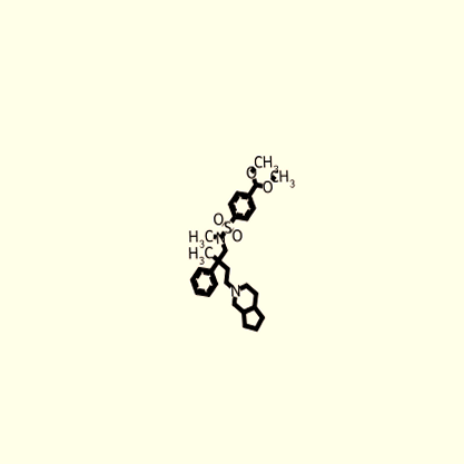 COC(OC)c1ccc(S(=O)(=O)N(C)CC(C)(CCN2CCC3CCCC3C2)c2ccccc2)cc1